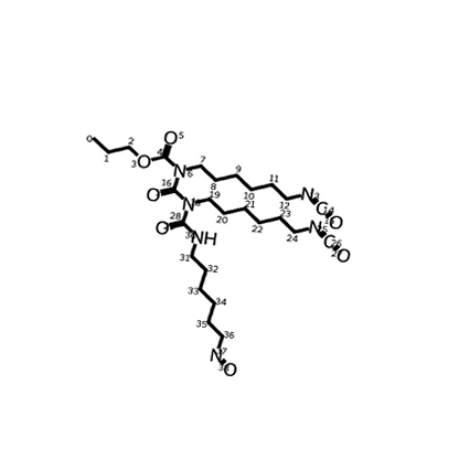 CCCOC(=O)N(CCCCCCN=C=O)C(=O)N(CCCCCCN=C=O)C(=O)NCCCCCCN=O